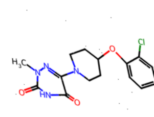 Cn1nc(N2CCC(Oc3ccccc3Cl)CC2)c(=O)[nH]c1=O